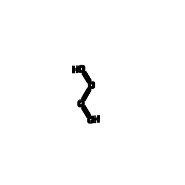 OOOO